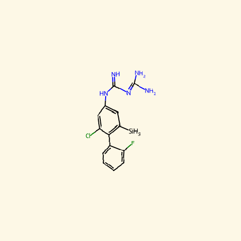 N=C(N=C(N)N)Nc1cc([SiH3])c(-c2ccccc2F)c(Cl)c1